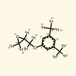 [2H]C([2H])([2H])c1cc(OC([2H])([2H])C2([2H])OC2([2H])[2H])cc(C([2H])([2H])[2H])c1